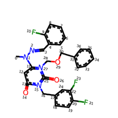 CN(/N=C/c1ccccc1F)c1cc(=O)n(Cc2ccc(F)c(F)c2)c(=O)n1COCc1ccccc1